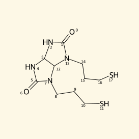 O=C1NC2NC(=O)N(CCCS)C2N1CCCS